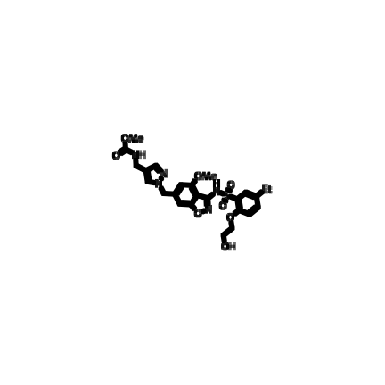 CCc1ccc(OCCO)c(S(=O)(=O)Nc2noc3cc(Cn4cc(CNC(=O)OC)cn4)cc(OC)c23)c1